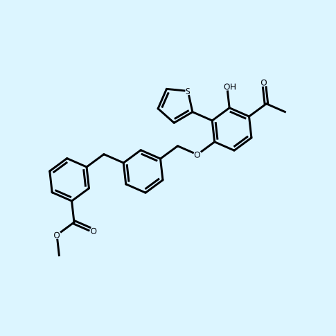 COC(=O)c1cccc(Cc2cccc(COc3ccc(C(C)=O)c(O)c3-c3cccs3)c2)c1